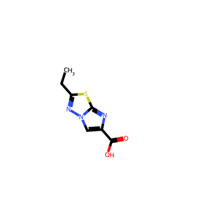 CCc1nn2cc(C(=O)O)nc2s1